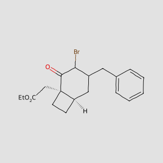 CCOC(=O)C[C@@]12CC[C@@H]1CC(Cc1ccccc1)C(Br)C2=O